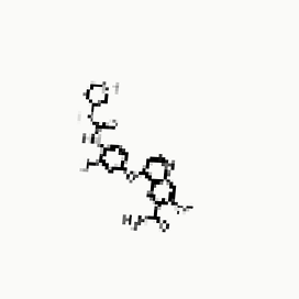 COc1cc2nccc(Oc3ccc(NC(=O)NC4CCNC4)c(Cl)c3)c2cc1C(N)=O